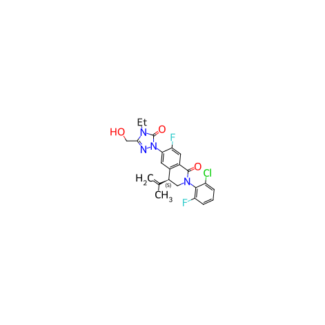 C=C(C)[C@@H]1CN(c2c(F)cccc2Cl)C(=O)c2cc(F)c(-n3nc(CO)n(CC)c3=O)cc21